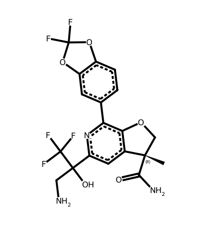 C[C@]1(C(N)=O)COc2c1cc(C(O)(CN)C(F)(F)F)nc2-c1ccc2c(c1)OC(F)(F)O2